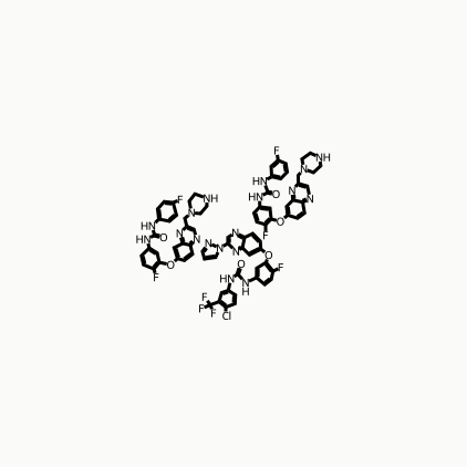 O=C(Nc1ccc(F)c(Oc2ccc3ncc(-n4cccn4)nc3c2)c1)Nc1ccc(Cl)c(C(F)(F)F)c1.O=C(Nc1ccc(F)cc1)Nc1ccc(F)c(Oc2ccc3ncc(CN4CCNCC4)nc3c2)c1.O=C(Nc1cccc(F)c1)Nc1ccc(F)c(Oc2ccc3ncc(CN4CCNCC4)nc3c2)c1